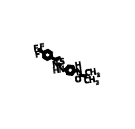 CC(C)C(=O)Nc1ccc(Nc2nc(-c3ccc(C(F)(F)F)cc3)cs2)cc1